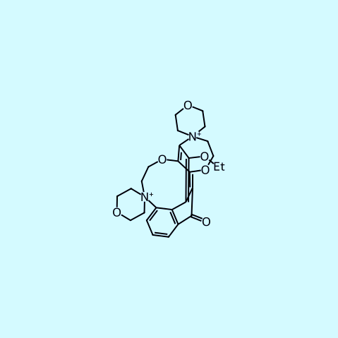 CCOc1c2c3c4c(c1[N+]1(CCOCC1)CCO4)OCC[N+]1(CCOCC1)c1cccc(c1-2)C3=O